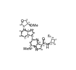 CNc1cc(-c2cnc3n([C@@H]4COC[C@H]4OC)cccc2-3)nc2c(C(=O)N[C@@H]3CC[C@H]3F)cnn12